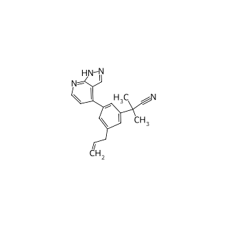 C=CCc1cc(-c2ccnc3[nH]ncc23)cc(C(C)(C)C#N)c1